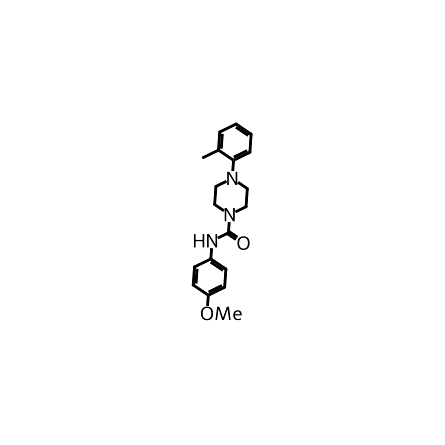 COc1ccc(NC(=O)N2CCN(c3ccccc3C)CC2)cc1